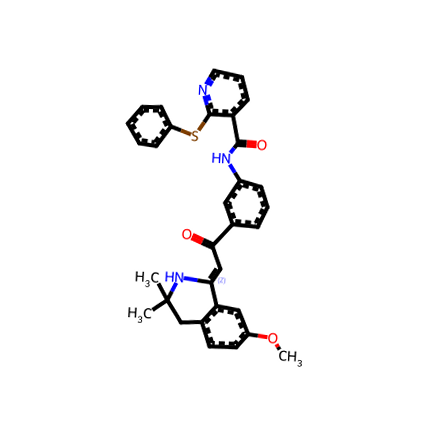 COc1ccc2c(c1)/C(=C/C(=O)c1cccc(NC(=O)c3cccnc3Sc3ccccc3)c1)NC(C)(C)C2